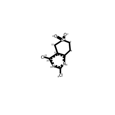 O=S1(=O)CCc2nc(Cl)nc(Cl)c2C1